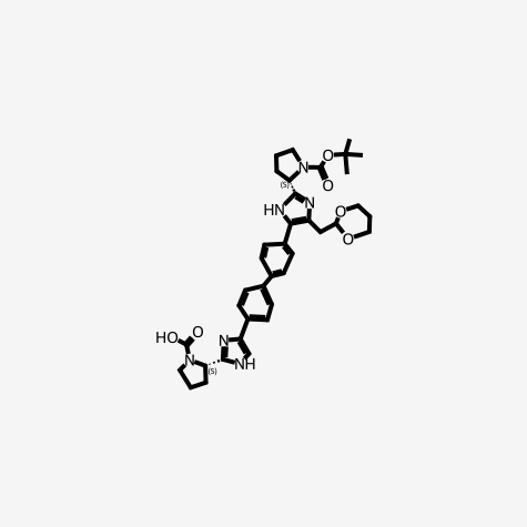 CC(C)(C)OC(=O)N1CCC[C@H]1c1nc(CC2OCCCO2)c(-c2ccc(-c3ccc(-c4c[nH]c([C@@H]5CCCN5C(=O)O)n4)cc3)cc2)[nH]1